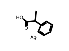 CC(C(=O)O)c1ccccc1.[Ag]